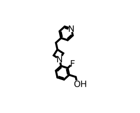 OCc1cccc(N2CC(Cc3ccncc3)C2)c1F